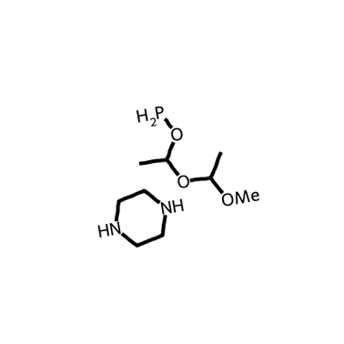 C1CNCCN1.COC(C)OC(C)OP